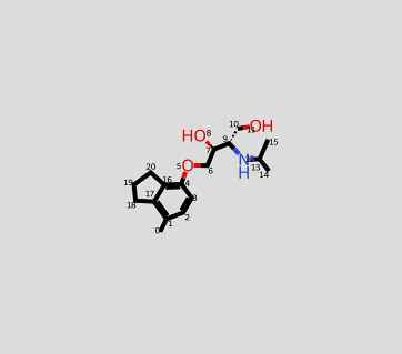 Cc1ccc(OC[C@@H](O)[C@H](CO)NC(C)C)c2c1CCC2